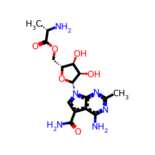 Cc1nc(N)c2c(C(N)=O)cn([C@@H]3O[C@H](COC(=O)[C@H](C)N)[C@@H](O)[C@H]3O)c2n1